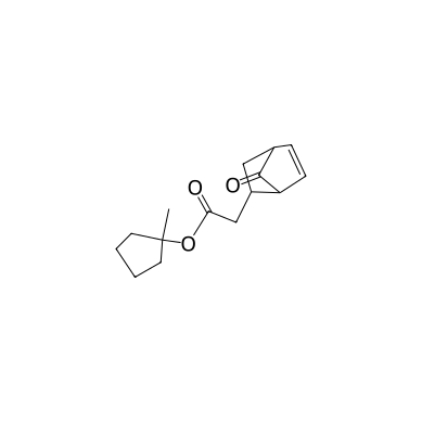 CC1(OC(=O)CC2CC3C=CC2C3=O)CCCC1